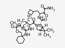 COC(=O)OCC1(NC(=O)N[C@H](C(=O)N2C[C@H]3[C@@H]([C@H]2C(=O)NC(CC2CCC2)C(=O)C(N)=O)C3(C)C)C(C)(C)C)CCCCC1